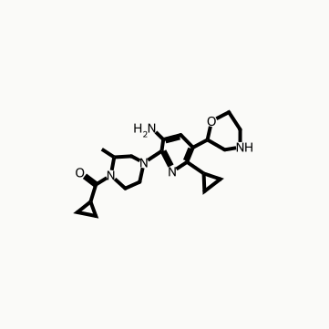 CC1CN(c2nc(C3CC3)c(C3CNCCO3)cc2N)CCN1C(=O)C1CC1